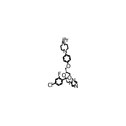 CC(C)N1CCN(c2ccc(OC[C@H]3CO[C@](Cn4cncn4)(c4ccc(Cl)cc4F)O3)cc2)CC1